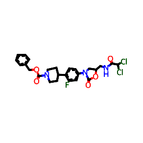 O=C(NCC1CN(c2ccc(C3CCN(C(=O)OCc4ccccc4)CC3)c(F)c2)C(=O)O1)C(Cl)Cl